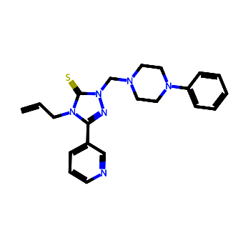 C=CCn1c(-c2cccnc2)nn(CN2CCN(c3ccccc3)CC2)c1=S